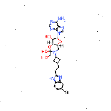 CC(C)(C)c1ccc2[nH]c(CCC3CC(N4C[C@H]5O[C@@H](n6cnc7c(N)ncnc76)[C@H](O)[C@@H]5OC4(O)CO)C3)nc2c1